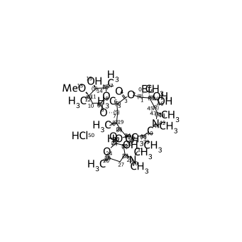 CC[C@H]1OC(=O)[C@H](C)[C@@H](O[C@H]2C[C@@](C)(OC)[C@@H](O)[C@H](C)O2)[C@H](C)[C@@H](O[C@@H]2O[C@H](C)C[C@H](N(C)C)[C@H]2O)[C@](C)(O)C[C@@H](C)CN(C)[C@H](C)[C@@H](O)[C@]1(C)O.Cl